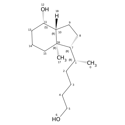 C[C@H](CCCCO)[C@H]1CC[C@H]2[C@@H](O)CCC[C@]12C